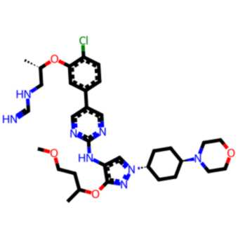 COCCC(C)Oc1nn([C@H]2CC[C@H](N3CCOCC3)CC2)cc1Nc1ncc(-c2ccc(Cl)c(O[C@@H](C)CNC=N)c2)cn1